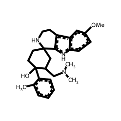 COc1ccc2[nH]c3c(c2c1)CCNC31CCC(O)(c2ccccc2C)C(CN(C)C)C1